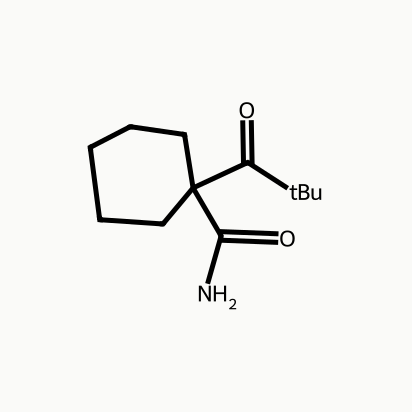 CC(C)(C)C(=O)C1(C(N)=O)CCCCC1